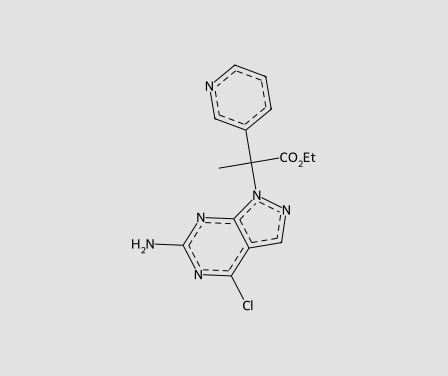 CCOC(=O)C(C)(c1cccnc1)n1ncc2c(Cl)nc(N)nc21